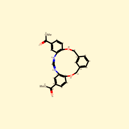 COC(=O)c1ccc2c(c1)N=C=Nc1cc(C(=O)OC)ccc1OCc1cccc(c1)CO2